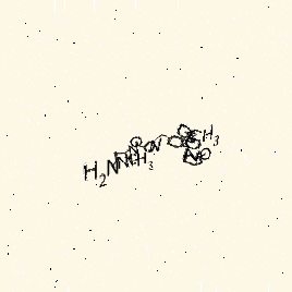 Cc1nc(N)c#cc1CNC(=O)c1ccnc(Cc2ccc(Cn3ccccc3=O)c(S(C)(=O)=O)c2)c1